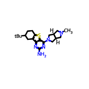 CN1C[C@@H]2CN(c3nc(N)nc4c5c(sc34)CCC(C(C)(C)C)C5)C[C@@H]2C1